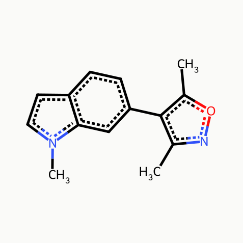 Cc1noc(C)c1-c1ccc2ccn(C)c2c1